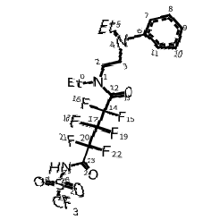 CCN(CCN(CC)c1ccccc1)C(=O)C(F)(F)C(F)(F)C(F)(F)C(=O)NS(=O)(=O)C(F)(F)F